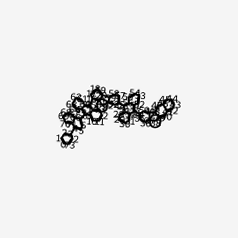 c1ccc(-c2ccc(-c3c4ccccc4c(-c4cccc5c4oc4cc(-c6c7ccccc7c(-c7ccc8oc9cc%10ccccc%10cc9c8c7)c7ccccc67)ccc45)c4ccccc34)c3ccccc23)cc1